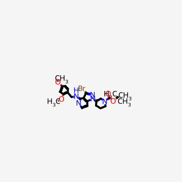 COc1ccc(CNc2nccc3c2c(Br)nn3[C@@H]2CCCN(C(=O)OC(C)(C)C)C2)c(OC)c1